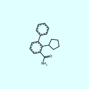 NC(=O)c1cccc(-c2ccccc2)c1C1CCCC1